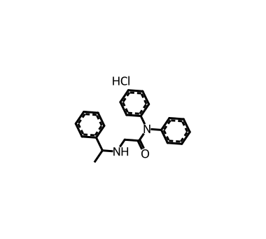 CC(NCC(=O)N(c1ccccc1)c1ccccc1)c1ccccc1.Cl